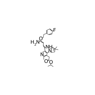 Cc1ncc(/C(N)=C/C=C(\N)OCCc2ccc(F)cc2)c(N2CCC(C)(C)CC2)c1CC(=O)OC(C)C